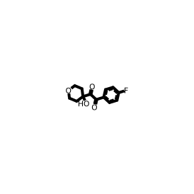 O=C(C(=O)C1(O)CCOCC1)c1ccc(F)cc1